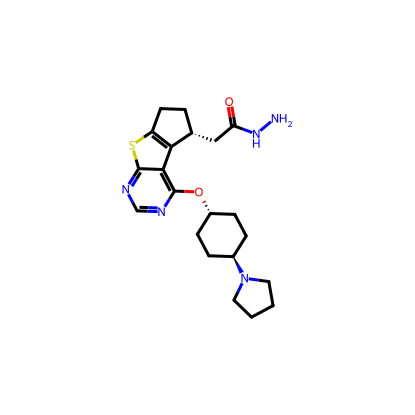 NNC(=O)C[C@H]1CCc2sc3ncnc(O[C@H]4CC[C@H](N5CCCC5)CC4)c3c21